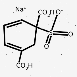 O=C(O)C1=CC=CC(C(=O)O)(S(=O)(=O)[O-])C1.[Na+]